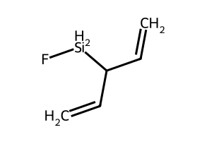 C=CC(C=C)[SiH2]F